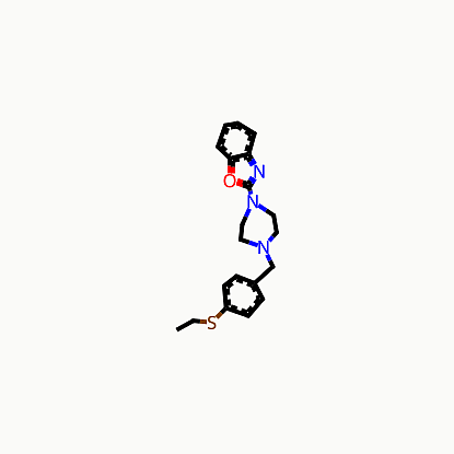 CCSc1ccc(CN2CCN(c3nc4ccccc4o3)CC2)cc1